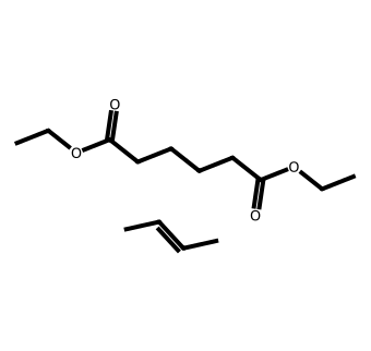 C/C=C/C.CCOC(=O)CCCCC(=O)OCC